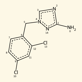 Nc1ncn(Cc2ccc(Cl)cc2Cl)n1